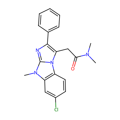 CN(C)C(=O)Cc1c(-c2ccccc2)nc2n(C)c3cc(Cl)ccc3n12